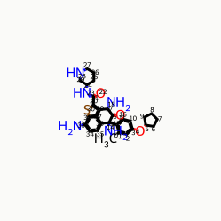 Cc1cc(OC2CCCC2)ccc1C1(N)C(=O)C(N)c2c(C(=O)NC3CCCNC3)sc3c(N)ccc1c23